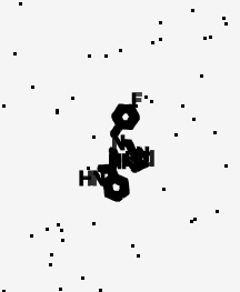 Cl.Fc1ccc(CN(CCc2c[nH]c3ccccc23)Cc2ncc[nH]2)cc1